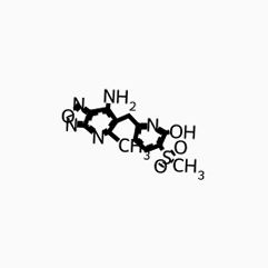 Cc1nc2nonc2c(N)c1Cc1ccc(S(C)(=O)=O)c(O)n1